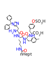 CCCCCCCC(=O)NCCCC[C@H](NC(=O)[C@@H](N)Cc1cn(C(c2ccccc2)c2ccccc2)cn1)C(=O)N[C@H](Cc1ccc(C)cc1)C(=O)NC(Cc1ccc(OS(=O)(=O)O)cc1)C(=O)O